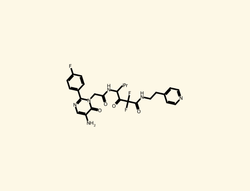 CC(C)C(NC(=O)Cn1c(-c2ccc(F)cc2)ncc(N)c1=O)C(=O)C(F)(F)C(=O)NCCc1ccncc1